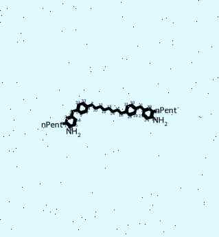 CCCCCc1cc(Cc2ccc(CCCCCCCCc3ccc(Cc4ccc(N)c(CCCCC)c4)cc3)cc2)ccc1N